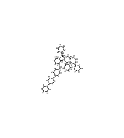 c1ccc(-c2ccc(-c3ccc(N(c4ccc(-c5ccccc5)cc4)c4cccc5c4c4cc6ccccc6cc4n5-c4ccccc4)cc3)cc2)cc1